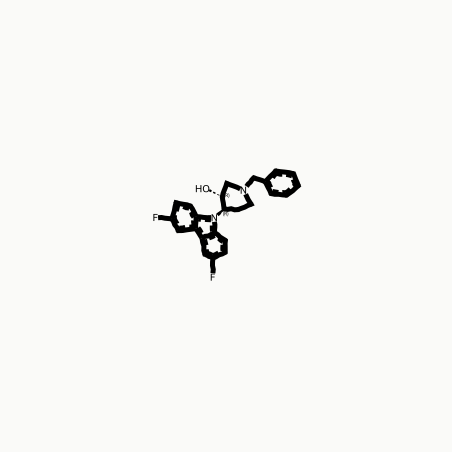 O[C@@H]1CN(Cc2ccccc2)CC[C@H]1n1c2ccc(F)cc2c2cc(F)ccc21